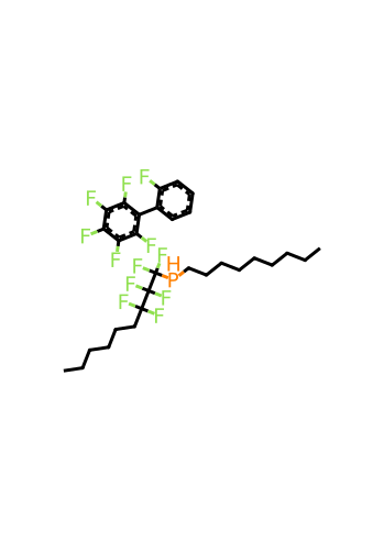 CCCCCCCCCPC(F)(F)C(F)(F)C(F)(F)CCCCCC.Fc1ccccc1-c1c(F)c(F)c(F)c(F)c1F